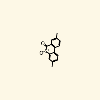 Cc1ccc2c(c1)c(=O)[s+]([O-])c1cc(C)ccc21